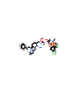 CN(CCOCC(=O)NCC1CCC(C(CCc2ccccc2)N2CCCC2)CC1)S(=O)(=O)c1ccc(Cl)cc1Cl